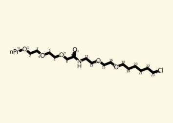 CCCOCCOCCOCC(=O)NCCOCCOCCCCCCCl